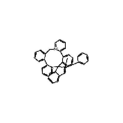 Cc1c(-c2ccccc2)ccc2[n+]1C1(c3ccccc3-c3cccc[n+]3Cc3ccccc3-c3cccc[n+]31)c1ccccc1-2